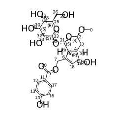 CO[C@H]1C[C@@H]2[C@@H](C(COC(=O)c3ccc(O)cc3)=C[C@H]2O)[C@H](O[C@@H]2O[C@H](CO)[C@@H](O)[C@H](O)[C@H]2O)O1